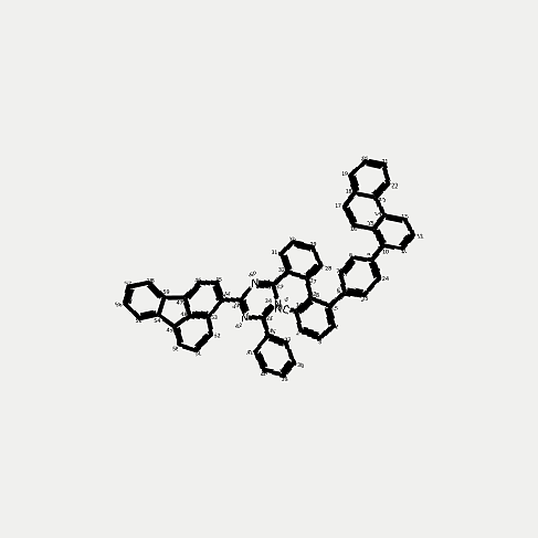 N#Cc1cccc(-c2ccc(-c3cccc4c3ccc3ccccc34)cc2)c1-c1ccccc1-c1nc(-c2ccccc2)nc(-c2ccc3c4c(cccc24)-c2ccccc2-3)n1